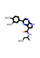 COCC(C)NC(=O)c1c[nH]c2ncc(-c3ccc(OC)c(OC)c3)nc12